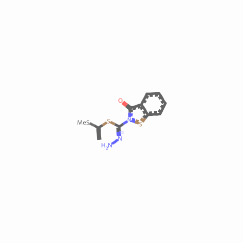 C=C(SC)S/C(=N\N)n1sc2ccccc2c1=O